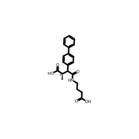 C[C@@H](C(=O)O)C(C(=O)NCCCC(=O)O)c1ccc(-c2ccccc2)cc1